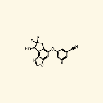 N#Cc1cc(F)cc(Oc2cc3ocnc3c3c2CC(F)(F)C3O)c1